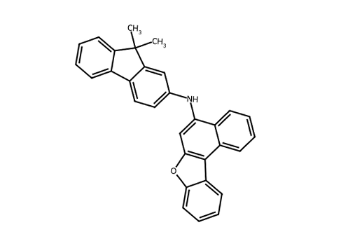 CC1(C)c2ccccc2-c2ccc(Nc3cc4oc5ccccc5c4c4ccccc34)cc21